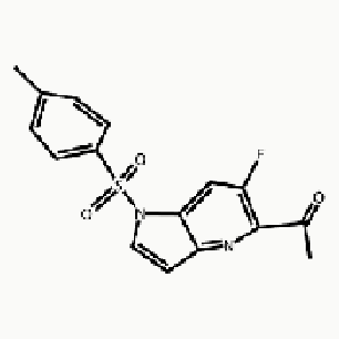 CC(=O)c1nc2ccn(S(=O)(=O)c3ccc(C)cc3)c2cc1F